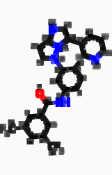 Cc1ccc(NC(=O)c2cc(C(F)(F)F)cc(C(F)(F)F)c2)cc1-n1ccc2ncc(-c3cccnc3)n21